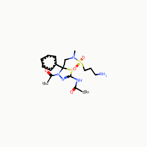 CN(CC1(c2ccccc2)SC(NC(=O)C(C)(C)C)=NN1C(=O)C(C)(C)C)S(=O)(=O)CCCN